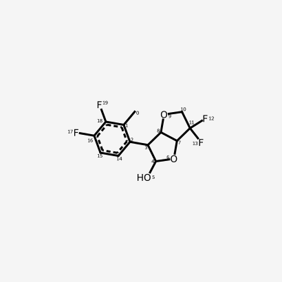 Cc1c(C2C(O)OC3C2OCC3(F)F)ccc(F)c1F